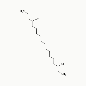 CCCC(O)CCCCCCCCCCCC(O)CC